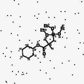 CCO[Si](CC(C)(C)C(=O)OC1CCCCC1)(OCC)OCC